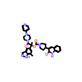 Cc1cc(C(C)(OC(=O)N2CCC(c3cc4ccccc4[nH]c3=O)CC2)C(=O)N2CCN(c3ccncc3)CC2)cc2cn[nH]c12